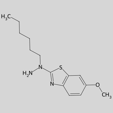 CCCCCCN(N)c1nc2ccc(OC)cc2s1